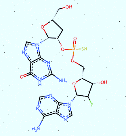 Nc1nc2c(ncn2[C@@H]2O[C@H](CO)C[C@@H]2O[P@](=O)(S)OC[C@H]2O[C@@H](n3cnc4c(N)ncnc43)C(F)[C@H]2O)c(=O)[nH]1